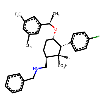 CC[C@@]1(C(=O)O)[C@@H](CNCc2ccccc2)CC[C@H](O[C@H](C)c2cc(C(F)(F)F)cc(C(F)(F)F)c2)[C@@H]1c1ccc(F)cc1